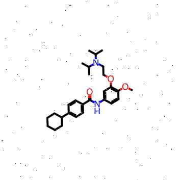 COc1ccc(NC(=O)c2ccc(C3CCCCC3)cc2)cc1OCCN(C(C)C)C(C)C